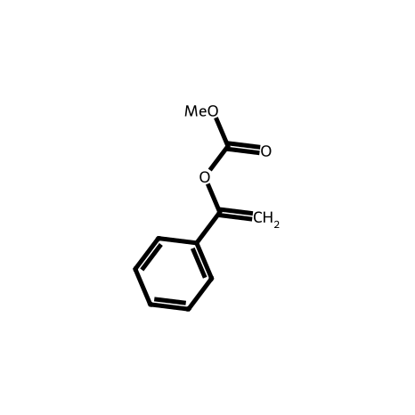 C=C(OC(=O)OC)c1ccccc1